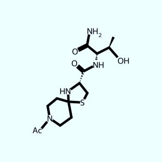 CC(=O)N1CCC2(CC1)N[C@H](C(=O)N[C@H](C(N)=O)[C@@H](C)O)CS2